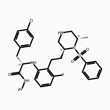 CC(C)NC(=O)[C@H](Cc1ccc(Cl)cc1)Nc1cccc(F)c1CC[C@H]1CNC[C@H](C)N1S(=O)(=O)c1ccccc1